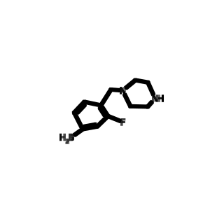 Bc1ccc(CN2CCNCC2)c(F)c1